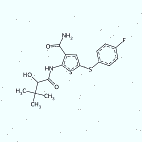 CC(C)(C)C(O)C(=O)Nc1sc(Sc2ccc(F)cc2)cc1C(N)=O